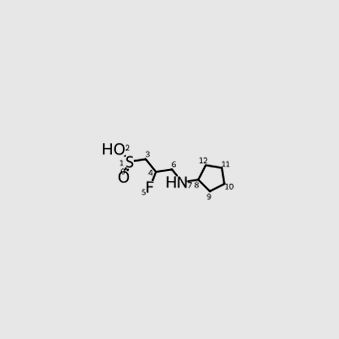 O=S(O)CC(F)CNC1CCCC1